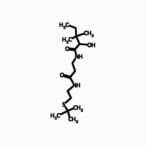 CCC(C)(C)C(O)C(=O)NCCC(=O)NCCSC(C)(C)C